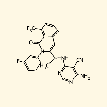 C[C@H](Nc1ncnc(N)c1C#N)c1cc2cccc(C(F)(F)F)c2c(=O)n1C1=CC(F)=CCC1